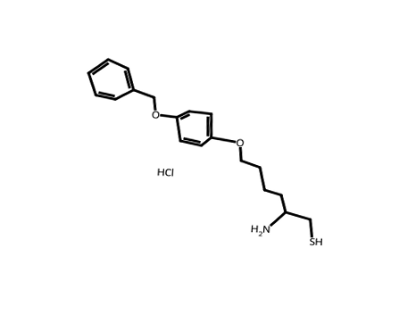 Cl.NC(CS)CCCCOc1ccc(OCc2ccccc2)cc1